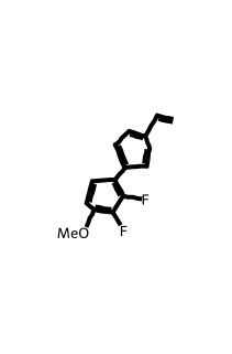 C=Cc1ccc(-c2ccc(OC)c(F)c2F)cc1